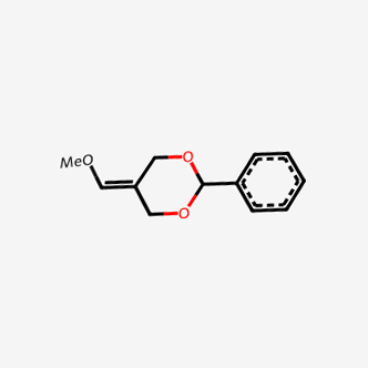 COC=C1COC(c2ccccc2)OC1